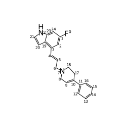 Fc1cc(C=CCN2CC=C(c3ccccc3)CC2)c2cc[nH]c2c1